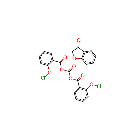 O=C(OC(=O)c1ccccc1OCl)OC(=O)c1ccccc1OCl.O=C1COc2ccccc21